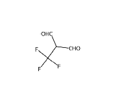 O=[C]C([C]=O)C(F)(F)F